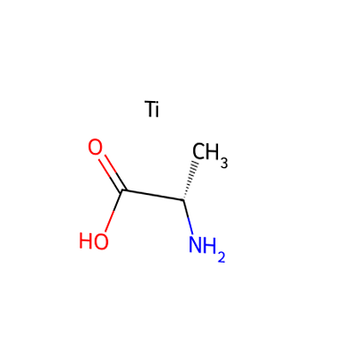 C[C@H](N)C(=O)O.[Ti]